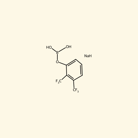 OB(O)Oc1cccc(C(F)(F)F)c1C(F)(F)F.[NaH]